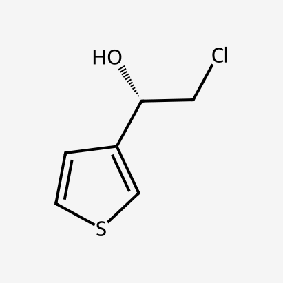 O[C@H](CCl)c1ccsc1